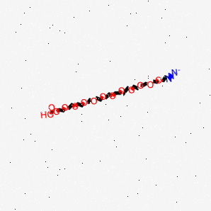 [N-]=[N+]=NCCOCCOCCOCCOCCOCCOCCOCCOCCOCCOCCOCCOC(=O)O